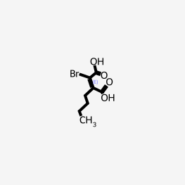 CCCC/C(C(=O)O)=C(\Br)C(=O)O